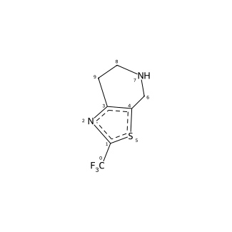 FC(F)(F)c1nc2c(s1)CNCC2